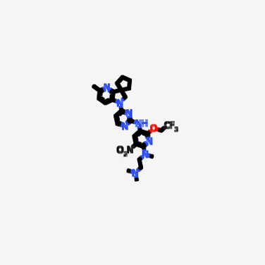 Cc1ccc2c(n1)C1(CCCC1)CN2c1ccnc(Nc2cc([N+](=O)[O-])c(N(C)CCN(C)C)nc2OCC(F)(F)F)n1